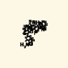 NC(=O)c1ccc(-c2cc3c(N(C(=O)c4ccc(-n5nnc6cccnc65)cc4F)[C@@H]4CCCNC4)nccc3s2)cc1F